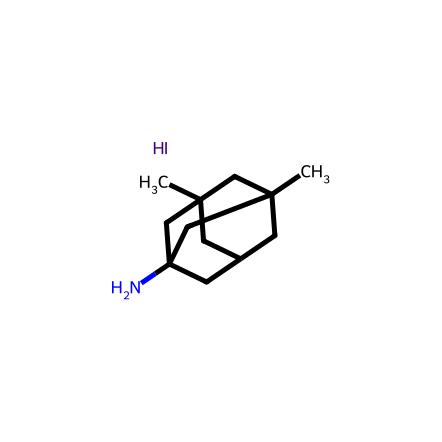 CC12CC3CC(C)(C1)CC(N)(C3)C2.I